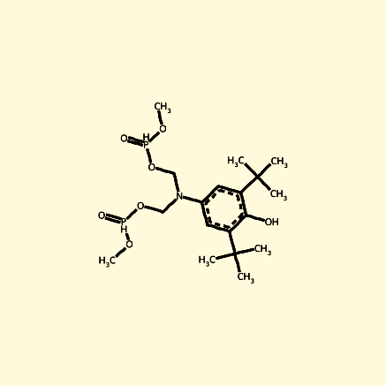 CO[PH](=O)OCN(CO[PH](=O)OC)c1cc(C(C)(C)C)c(O)c(C(C)(C)C)c1